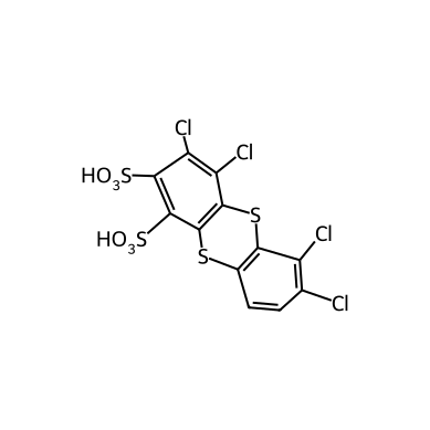 O=S(=O)(O)c1c(Cl)c(Cl)c2c(c1S(=O)(=O)O)Sc1ccc(Cl)c(Cl)c1S2